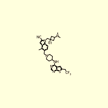 CCC1(Cn2c(C#N)cc3c(C)c(CN4CCC(Nc5ncnc6sc(CC(F)(F)F)cc56)CC4)ccc32)CC(N(C)C)C1